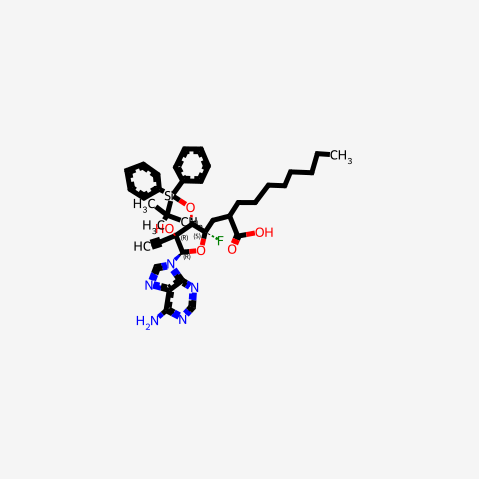 C#C[C@]1(O)[C@H](n2cnc3c(N)ncnc32)O[C@](F)(CC(CCCCCCCC)C(=O)O)[C@H]1O[Si](c1ccccc1)(c1ccccc1)C(C)(C)C